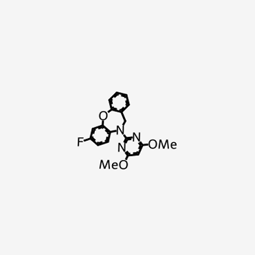 COc1cc(OC)nc(N2Cc3ccccc3Oc3cc(F)ccc32)n1